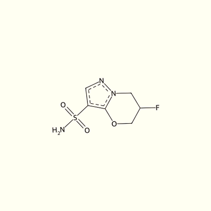 NS(=O)(=O)c1cnn2c1OCC(F)C2